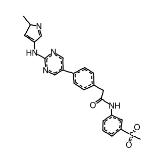 CC1C=C(Nc2ncc(-c3ccc(CC(=O)Nc4cccc(S(C)(=O)=O)c4)cc3)cn2)C=N1